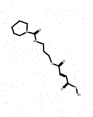 CC(C)OC(=O)/C=C/C(=O)OCCCNC(=O)N1CCCCC1